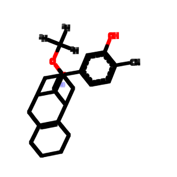 [2H]C([2H])([2H])O/C(=C1\C2CCCC1C1=C(CCCC1)C2)c1ccc(C#N)c(O)c1